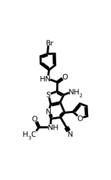 CC(=O)Nc1nc2sc(C(=O)Nc3ccc(Br)cc3)c(N)c2c(-c2ccco2)c1C#N